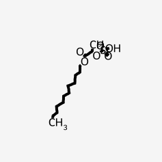 CCCCCCCCCCCCOC(=O)C(C)OS(=O)(=O)O